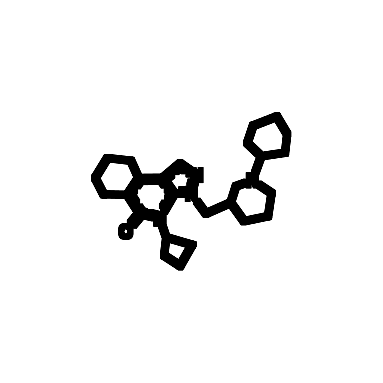 O=c1c2c(c3cnn(CC4CCCN(C5CCCCC5)C4)c3n1C1CCC1)CCCC2